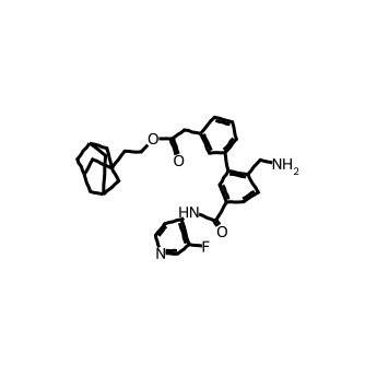 NCc1ccc(C(=O)Nc2ccncc2F)cc1-c1cccc(CC(=O)OCCC23CC4CC(CC(C4)C2)C3)c1